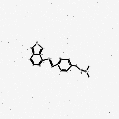 CN(C)NCc1ccc(/C=N/c2cccc3cocc23)cc1